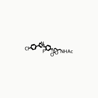 CC(=O)NCC1CN(c2ccc(-n3cc(-c4ccc(Cl)cc4)cn3)c(F)c2)C(=O)O1